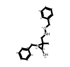 CC1(CNOCc2ccccc2)[C@@H](O)N1Cc1ccccc1